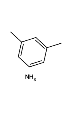 Cc1cccc(C)c1.N